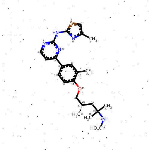 Cc1csc(Nc2nccc(-c3ccc(OC[C@@H](C)CC(C)(C)NC(=O)O)c(C(F)(F)F)c3)n2)n1